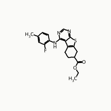 CCOC(=O)C1CCc2c(sc3ncnc(Nc4ccc(C)cc4F)c23)C1